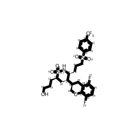 O=S(=O)(CCC[C@H]1NS(=O)(=O)[C@H](CCCO)C[C@H]1[C@@H]1COc2c(F)ccc(F)c2C1)c1ccc(C(F)(F)F)cc1